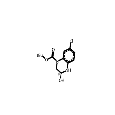 CC(C)(C)OC(=O)N1C[C@H](O)Nc2ccc(Cl)cc21